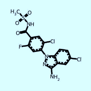 CS(=O)(=O)NC(=O)c1cc(Cl)c(-n2nc(N)c3cc(Cl)ccc32)cc1F